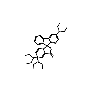 CCN(CC)c1ccc2c(c1)-c1ccccc1C21OC(=O)C2=CC(N(CC)CC)(N(CC)CC)C=CC21